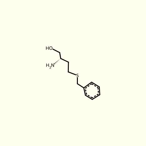 N[C@H](CO)CCSCc1ccccc1